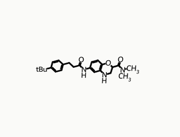 CN(C)C(=O)C1CNc2cc(NC(=O)CCc3ccc(C(C)(C)C)cc3)ccc2O1